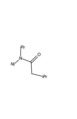 CC(C)CC(=O)[N]([Ni])C(C)C